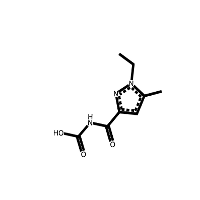 CCn1nc(C(=O)NC(=O)O)cc1C